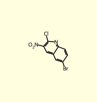 O=[N+]([O-])c1cc2cc(Br)ccc2nc1Cl